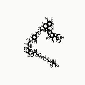 CC[C@@]1(O)C(=O)OCc2c1cc1n(c2=O)Cc2c-1nc1cc(F)c(C)c3c1c2C(NC(=O)OCc1ccc(NC(=O)[C@H](C)NC(=O)[C@@H](NC(=O)CCOCCOCCNC(=O)CBr)C(C)C)cc1)CC3